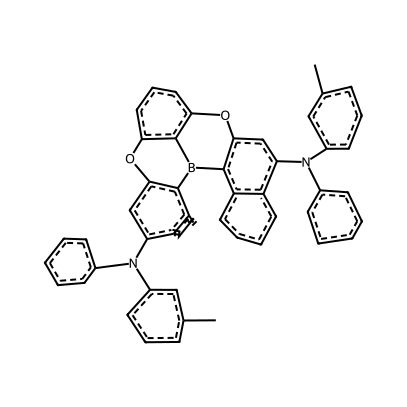 Cc1cccc(N(c2ccccc2)c2cc3c(c4ccccc24)B2c4c(cccc4Oc4cc(N(c5ccccc5)c5cccc(C)c5)c5ccccc5c42)O3)c1